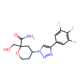 NC(=O)C1(CO)CC(n2cc(-c3cc(F)c(F)c(F)c3)nn2)CCO1